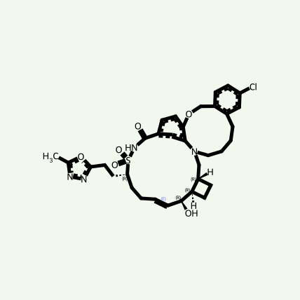 Cc1nnc(CC[C@H]2CC/C=C/[C@H](O)[C@@H]3CC[C@H]3CN3CCCCc4cc(Cl)ccc4COc4ccc(cc43)C(=O)NS2(=O)=O)o1